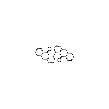 O=C1c2ccccc2Cc2cccc(-c3cccc4c3C(=O)c3ccccc3C4)c21